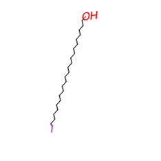 OCCCCCCCCCCCCCCCCCCCCCCCI